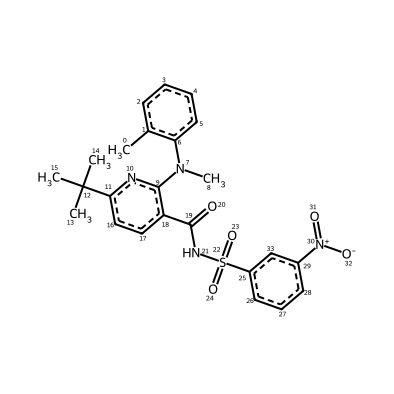 Cc1ccccc1N(C)c1nc(C(C)(C)C)ccc1C(=O)NS(=O)(=O)c1cccc([N+](=O)[O-])c1